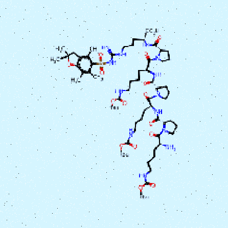 Cc1c(C)c(S(=O)(=O)NC(=N)NCCC[C@H](NC(=O)[C@@H]2CCCN2C(=O)[C@H](CCCCNC(=O)OC(C)(C)C)NC(=O)[C@@H]2CCCN2C(=O)[C@H](CCCCNC(=O)OC(C)(C)C)NC(=O)[C@@H]2CCCN2C(=O)[C@@H](N)CCCCNC(=O)OC(C)(C)C)C(=O)O)c(C)c2c1OC(C)(C)C2